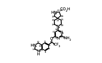 Nc1nc(OC(c2ccc3c(c2)CNCN3)C(F)(F)F)cc(N2CCC3(CC2)CN[C@H](C(=O)O)C3)n1